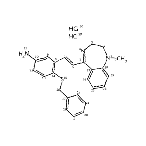 CN1CCN=C(C=Cc2cc(N)ccc2SCc2ccccc2)c2ccccc21.Cl.Cl